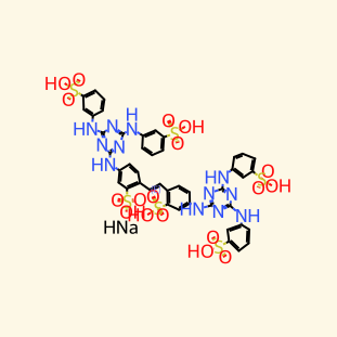 O=S(=O)(O)c1cccc(Nc2nc(Nc3cccc(S(=O)(=O)O)c3)nc(Nc3ccc(/C=C/c4ccc(Nc5nc(Nc6cccc(S(=O)(=O)O)c6)nc(Nc6cccc(S(=O)(=O)O)c6)n5)cc4S(=O)(=O)O)c(S(=O)(=O)O)c3)n2)c1.[NaH]